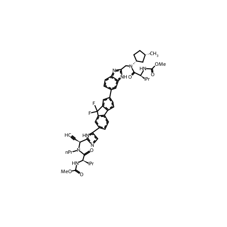 C#C[C@@H](c1ncc(-c2ccc3c(c2)C(F)(F)c2cc(-c4ccc5nc(CN(C(=O)[C@@H](NC(=O)OC)C(C)C)[C@@H]6CC[C@H](C)C6)[nH]c5c4)ccc2-3)[nH]1)N(CCC)C(=O)[C@H](NC(=O)OC)C(C)C